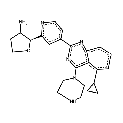 NC1CCO[C@@H]1c1cc(-c2nc(N3CCNCC3)c3c(C4CC4)cncc3n2)ccn1